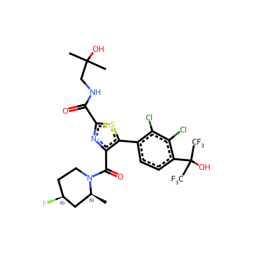 C[C@H]1C[C@@H](F)CCN1C(=O)c1nc(C(=O)NCC(C)(C)O)sc1-c1ccc(C(O)(C(F)(F)F)C(F)(F)F)c(Cl)c1Cl